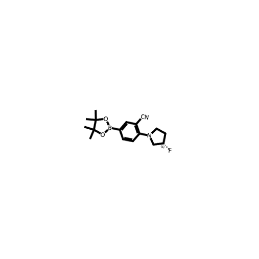 CC1(C)OB(c2ccc(N3CC[C@H](F)C3)c(C#N)c2)OC1(C)C